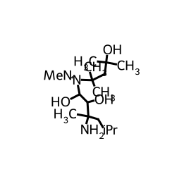 CNN(C(O)C(O)C(C)(N)CC(C)C)C(C)(C)CC(C)(C)O